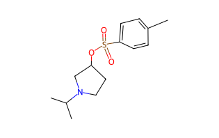 Cc1ccc(S(=O)(=O)OC2CCN(C(C)C)C2)cc1